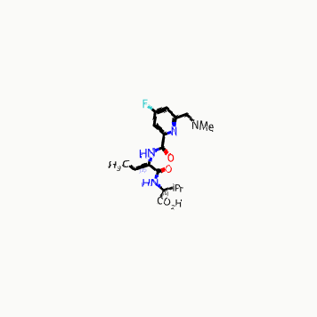 C/C=C(\NC(=O)c1cc(F)cc(CNC)n1)C(=O)N[C@H](C(=O)O)C(C)C